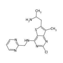 Cc1c(CC(C)N)sc2c(NCc3ncccn3)nc(Cl)nc12